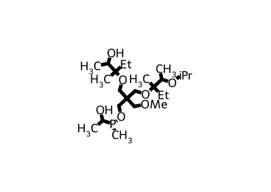 CCC(C)(OCC(COC)(COP(C)C(C)O)COC(C)(CC)C(C)OC(C)C)C(C)O